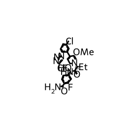 CC[C@@H](C(=O)Nc1ccc(C(N)=O)c(F)c1)N1C=C(OC)C(c2cc(Cl)ccc2-n2cc(C(F)(F)F)nn2)=CC1O